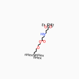 CCCCCC[Si](CCCCCC)(CCCCCC)CCCOCCOC(=O)CCNCCC[Si](C)(OCC)OCC